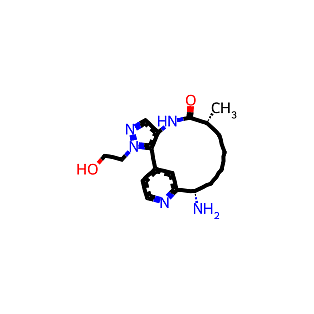 C[C@@H]1CCCC[C@H](N)c2cc(ccn2)-c2c(cnn2CCO)NC1=O